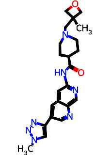 Cn1cc(-c2cnc3cnc(NC(=O)C4CCN(CC5(C)COC5)CC4)cc3c2)nn1